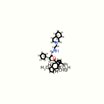 CC(C)C1=CC2CC3(C=O)[C@@H]4CC[C@@H](C)[C@H]4CC2([C@H]2C[C@@H](C4CCCCC4)[C@H](CNCCN4CCC5CCCCC5C4)O2)[C@]13C(=O)O